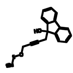 CC(C)(C)SOCC#CCC1(O)c2ccccc2-c2ccccc21